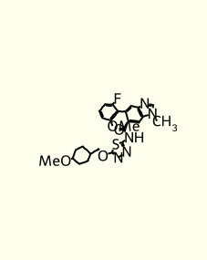 COc1cccc(F)c1-c1cc2ncn(C)c2cc1C(=O)Nc1nnc(OCC2CCC(OC)CC2)s1